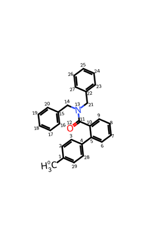 Cc1ccc(-c2ccccc2C(=O)N(Cc2ccccc2)Cc2ccccc2)cc1